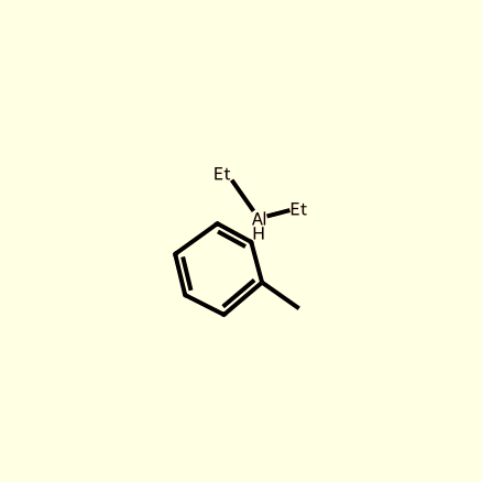 C[CH2][AlH][CH2]C.Cc1ccccc1